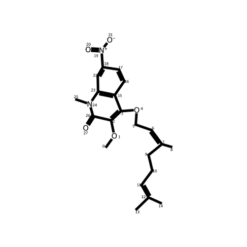 COc1c(OCC=C(C)CCC=C(C)C)c2ccc([N+](=O)[O-])cc2n(C)c1=O